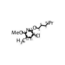 COc1nc(OCCCC(C)C)c(Cl)cc1C